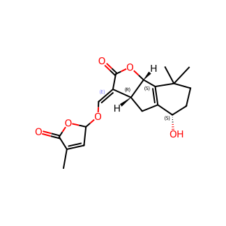 CC1=CC(O/C=C2/C(=O)O[C@@H]3C4=C(C[C@H]23)[C@@H](O)CCC4(C)C)OC1=O